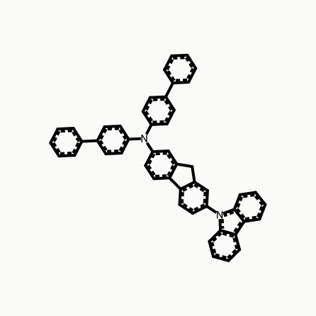 c1ccc(-c2ccc(N(c3ccc(-c4ccccc4)cc3)c3ccc4c(c3)Cc3cc(-n5c6ccccc6c6ccccc65)ccc3-4)cc2)cc1